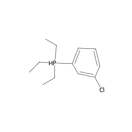 CC[PH](CC)(CC)c1cccc(Cl)c1